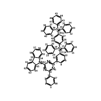 c1ccc(-c2nc(-c3cccc([Si](c4ccccc4)(c4ccccc4)c4ccc([Si](c5ccccc5)(c5ccccc5)c5ccccc5)cc4)c3)nc(-n3c4ccccc4c4ccccc43)n2)cc1